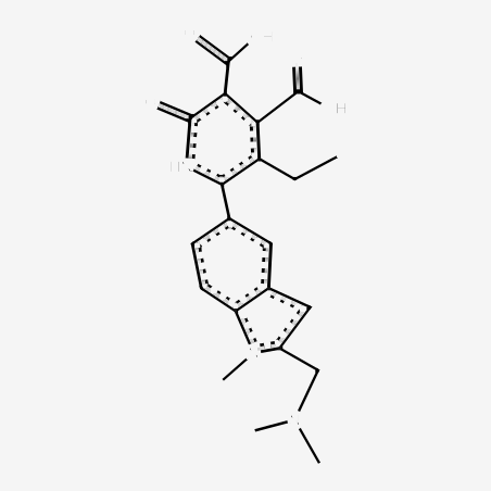 CCc1c(-c2ccc3c(c2)cc(CN(C)C)n3C)[nH]c(=O)c(C(=O)O)c1C(=O)O